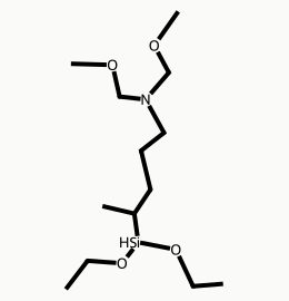 CCO[SiH](OCC)C(C)CCCN(COC)COC